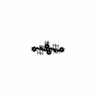 I.I.N=C(NCc1ccccc1)NN=Cc1c2ccccc2c(C=NNC(=N)NCc2ccccc2)c2ccccc12